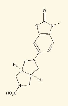 Cn1c(=O)oc2cc(N3C[C@H]4CN(C(=O)O)C[C@H]4C3)ccc21